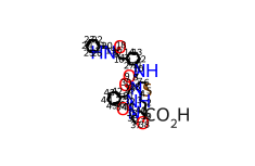 O=C(O)CCCC1SC[C@@H](C(=O)Nc2cccc(CC(=O)NCc3ccccc3)c2)N1C(=O)[C@H](NC(=O)N1CCOCC1)c1ccccc1